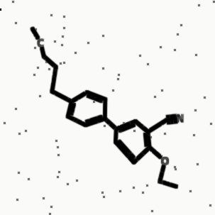 CCCCCc1ccc(-c2ccc(OCC)c(C#N)c2)cc1